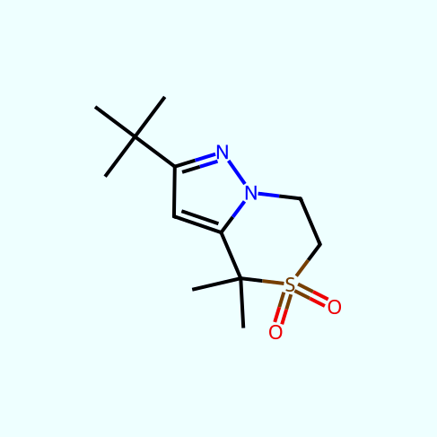 CC(C)(C)c1cc2n(n1)CCS(=O)(=O)C2(C)C